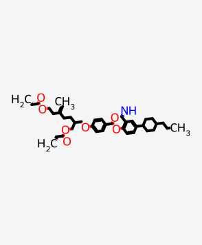 C=CC(=O)OCCC(=CC)CCC(COC(=O)C=C)COc1ccc(C(=O)Oc2ccc(C3CCC(CCC)CC3)cc2C=N)cc1